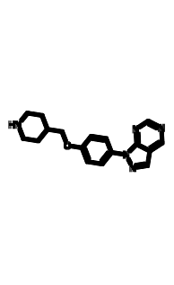 c1ncc2cnn(-c3ccc(OCC4CCNCC4)cc3)c2n1